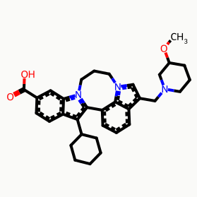 COC1CCCN(Cc2cn3c4c(cccc24)-c2c(C4CCCCC4)c4ccc(C(=O)O)cc4n2CCC3)C1